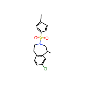 Cc1ccc(S(=O)(=O)N2CCc3ccc(Cl)cc3C(C)C2)cc1